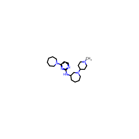 CN1CCC(N2CCCCC(Nc3nccc(N4CCCCCC4)n3)C2)CC1